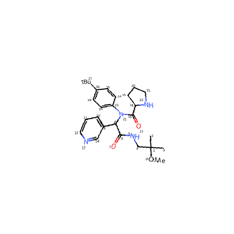 COC(C)(C)CNC(=O)C(c1cccnc1)N(C(=O)C1CCCN1)c1ccc(C(C)(C)C)cc1